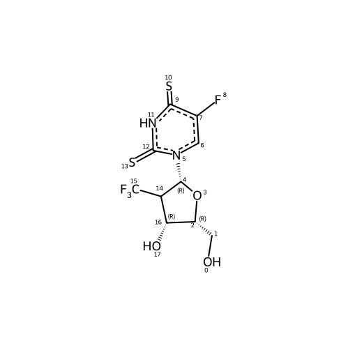 OC[C@H]1O[C@@H](n2cc(F)c(=S)[nH]c2=S)C(C(F)(F)F)[C@H]1O